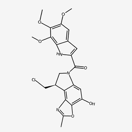 COc1cc2cc(C(=O)N3C[C@H](CCl)c4c3cc(O)c3oc(C)nc43)[nH]c2c(OC)c1OC